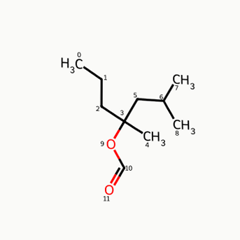 CCCC(C)(CC(C)C)OC=O